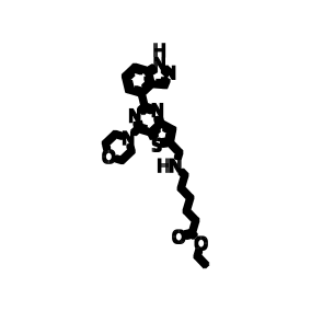 CCOC(=O)CCCCCNCc1cc2nc(-c3cccc4[nH]ncc34)nc(N3CCOCC3)c2s1